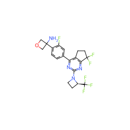 NC1(c2ccc(-c3nc(N4CC[C@@H]4C(F)(F)F)nc4c3CCC4(F)F)cc2F)COC1